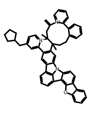 C=C1CC2(C)[n+]3ccc(CC4CCCC4)cc3-c3cc4c5cccc6c7c8oc9ccccc9c8ccc7n(c4cc3C2(C)CCc2ccccc2-c2cccc[n+]21)c56